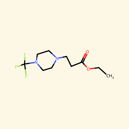 CCOC(=O)CCN1CCN(C(F)(F)F)CC1